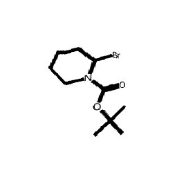 CC(C)(C)OC(=O)N1CCCCC1Br